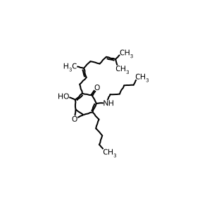 CCCCCNC1=C(CCCCC)C2OC2C(O)=C(C/C=C(\C)CCC=C(C)C)C1=O